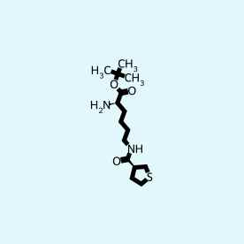 CC(C)(C)OC(=O)[C@@H](N)CCCCNC(=O)[C@@H]1CCSC1